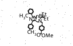 CCCCn1c(-c2ccccc2C)nc(-c2ccc(C)cc2)c1CN(Cc1ccc(C(=O)OC)cc1)CC(CC)CC